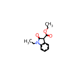 CCOC(=O)C1C(=O)N(CC)c2ccccc21